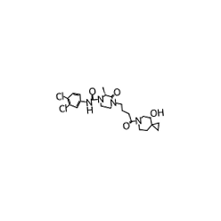 C[C@H]1C(=O)N(CCCC(=O)N2CCC3(CC3)[C@H](O)C2)CCN1C(=O)Nc1ccc(Cl)c(Cl)c1